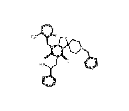 N[C@@H](Cn1c(=O)c2c(n(Cc3c(F)cccc3C(F)(F)F)c1=O)COC21CCN(Cc2ccncc2)CC1)c1ccccc1